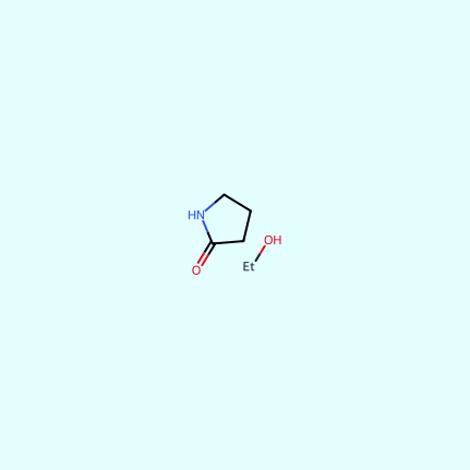 CCO.O=C1CCCN1